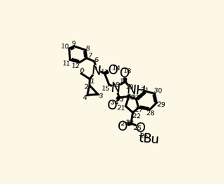 CC(C1CC1)N(Cc1ccccc1)C(=O)CN1C(=O)NC2(CC(C(=O)OC(C)(C)C)c3ccccc32)C1=O